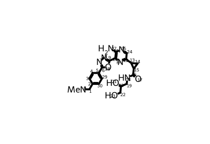 CNCc1ccc(-c2nnc(-c3nc(C4CC4C(=O)NCC(O)CO)cnc3N)o2)cc1